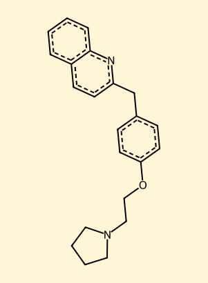 c1ccc2nc(Cc3ccc(OCCN4CCCC4)cc3)ccc2c1